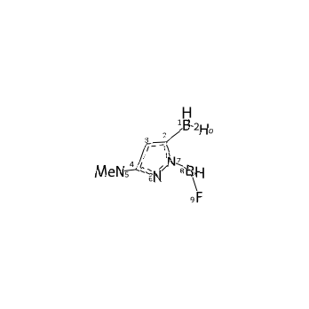 [2H]Bc1cc(NC)nn1BF